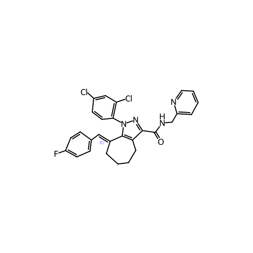 O=C(NCc1ccccn1)c1nn(-c2ccc(Cl)cc2Cl)c2c1CCCC/C2=C\c1ccc(F)cc1